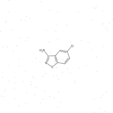 Nc1nsc2ccc(Cl)cc12